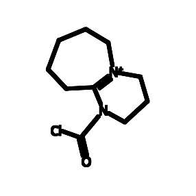 O=C(Cl)N1CCC[N+]2=C1CCCCC2